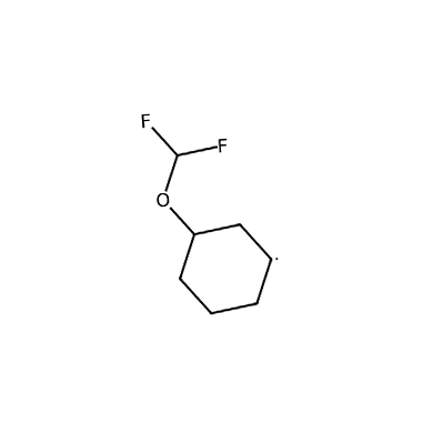 FC(F)OC1C[CH]CCC1